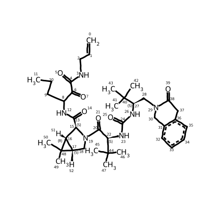 C=CCNC(=O)C(=O)C(CCC)NC(=O)[C@@H]1[C@@H]2[C@H](CN1C(=O)[C@@H](NC(=O)N[C@H](CN1Cc3ccccc3CC1=O)C(C)(C)C)C(C)(C)C)C2(C)C